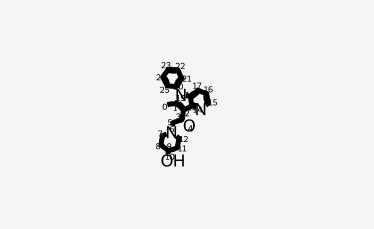 Cc1c(C(=O)CN2CCC(O)CC2)c2ncccc2n1-c1ccccc1